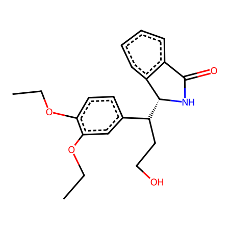 CCOc1ccc(C(CCO)[C@H]2NC(=O)c3ccccc32)cc1OCC